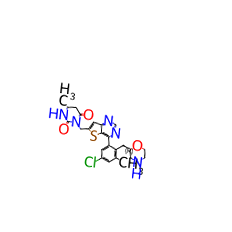 Cc1cc(Cl)cc(-c2ncnc3cc(CN4C(=O)CC(C)NC4=O)sc23)c1C[C@@H]1CNCCO1